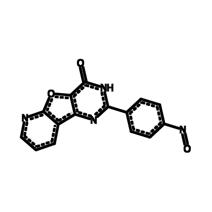 O=Nc1ccc(-c2nc3c(oc4ncccc43)c(=O)[nH]2)cc1